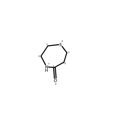 O=C1[C]CSCCN1